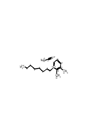 CCCCCCCC[n+]1cccc(C)c1C.N#CS